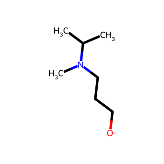 CC(C)N(C)CCC[O]